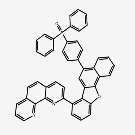 O=P(c1ccccc1)(c1ccccc1)c1ccc(-c2cc3c(oc4cccc(-c5ccc6ccc7cccnc7c6n5)c43)c3ccccc23)cc1